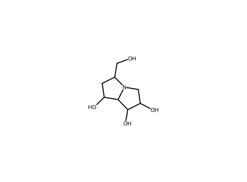 OCC1[CH]C(O)C2C(O)C(O)CN12